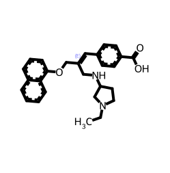 CCN1CCC(NC/C(=C\c2ccc(C(=O)O)cc2)COc2cccc3ccccc23)C1